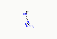 Nc1ncnc2c1ncn2CCCCCCNc1ccccc1